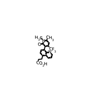 Cc1cc(C(F)(F)F)c(-c2ccc(CCC(=O)O)c3cccnc23)c(=O)n1C